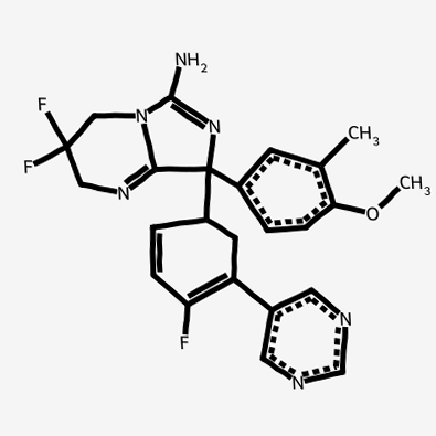 COc1ccc(C2(C3C=CC(F)=C(c4cncnc4)C3)N=C(N)N3CC(F)(F)CN=C32)cc1C